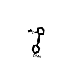 C=COc1ccccc1C#Cc1ccc(OC)cc1